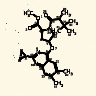 COC(=O)C1CC(Oc2nc(C3CC3)nc3cc(C)c(C)cc23)CN1C(=O)[C@@H](C)C(C)(C)C